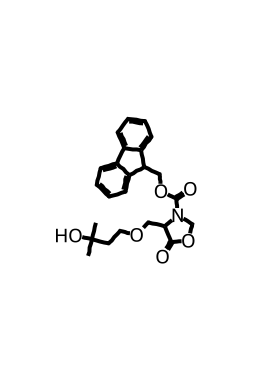 CC(C)(O)CCOCC1C(=O)OCN1C(=O)OCC1c2ccccc2-c2ccccc21